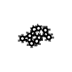 c1ccc2c(c1)ccc1c3cc4c5ccccc5n5c6ccccc6c(c3n(-c3nc(-n6c7ccccc7c7ccccc76)nc6ccccc36)c21)c45